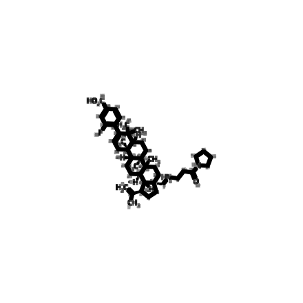 C=C(C)[C@@H]1CC[C@]2(CNCCC(=O)N3CCCC3)CC[C@]3(C)[C@H](CC[C@@H]4[C@@]5(C)CC=C(c6ccc(C(=O)O)cc6F)C(C)(C)[C@@H]5CC[C@]43C)[C@@H]12